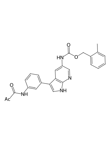 CC(=O)C(=O)Nc1cccc(-c2c[nH]c3ncc(NC(=O)OCc4ccccc4C)cc23)c1